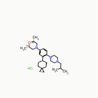 CC(C)CN1CCN(c2ccc(N3C[C@@H](C)O[C@@H](C)C3)cc2C2CCC3(CC2)CC3)CC1.Cl